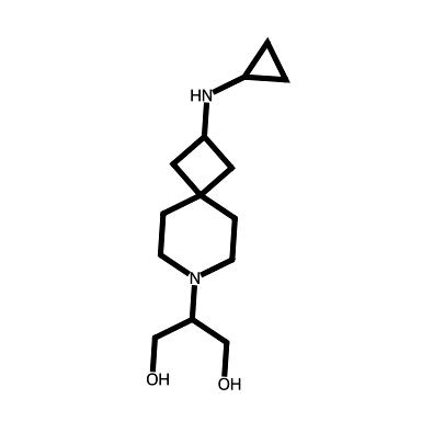 OCC(CO)N1CCC2(CC1)CC(NC1CC1)C2